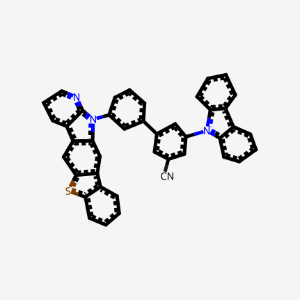 N#Cc1cc(-c2cccc(-n3c4cc5c(cc4c4cccnc43)sc3ccccc35)c2)cc(-n2c3ccccc3c3ccccc32)c1